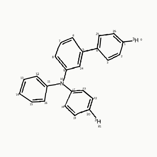 [3H]c1ccc(-c2cccc(N(c3ccccc3)c3ccc([3H])cc3)c2)cc1